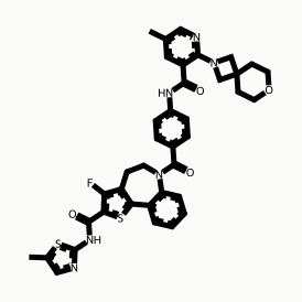 Cc1cnc(N2CC3(CCOCC3)C2)c(C(=O)Nc2ccc(C(=O)N3CCc4c(sc(C(=O)Nc5ncc(C)s5)c4F)-c4ccccc43)cc2)c1